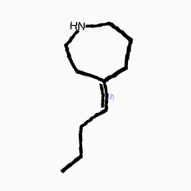 CCC/C=C1/CCCNCC1